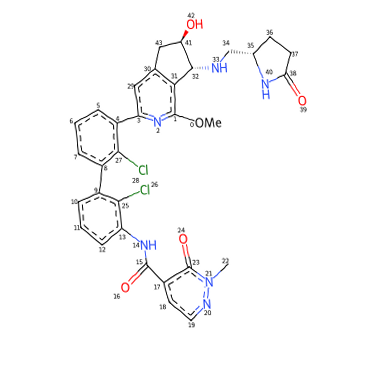 COc1nc(-c2cccc(-c3cccc(NC(=O)c4ccnn(C)c4=O)c3Cl)c2Cl)cc2c1[C@@H](NC[C@@H]1CCC(=O)N1)[C@H](O)C2